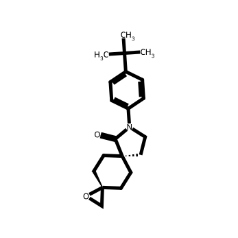 CC(C)(C)c1ccc(N2CC[C@]3(CC[C@@]4(CC3)CO4)C2=O)cc1